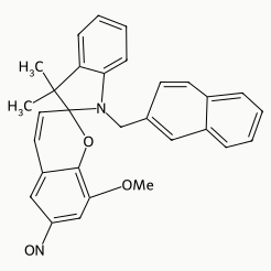 COc1cc(N=O)cc2c1OC1(C=C2)N(Cc2ccc3ccccc3c2)c2ccccc2C1(C)C